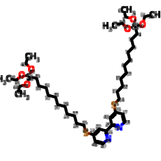 CCO[Si](CCCCCCCCCCCSc1ccnc(-c2cc(SCCCCCCCCCCC[Si](OCC)(OCC)OCC)ccn2)c1)(OCC)OCC